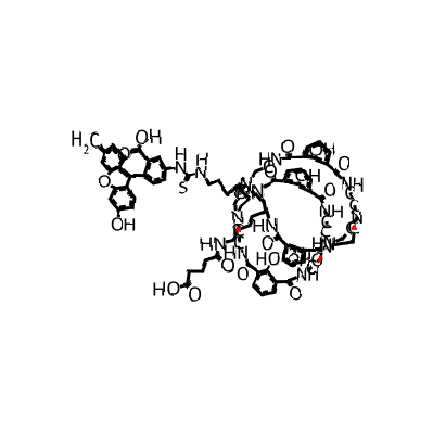 C=c1ccc2c(c1)Oc1cc(O)ccc1C=2c1ccc(NC(=S)NCCCCC2CN3CCNC(=O)c4cccc(c4O)C(=O)NCCN(CCNC(=O)c4cccc(c4O)C(=O)N2)CCN2CCNC(=O)c4cccc(c4O)C(=O)NCCN(CC3)CC(CCCCNC(=O)CCCC(=O)O)NC(=O)c3cccc(c3O)C(=O)NCC2)cc1C(=O)O